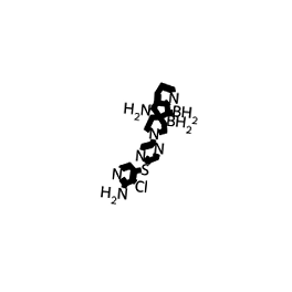 BC1(B)c2ncccc2[C@@H](N)C12CCN(c1cnc(Sc3ccnc(N)c3Cl)cn1)CC2